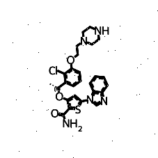 C[C@@H](Oc1cc(-n2cnc3ccccc32)sc1C(N)=O)c1cccc(OCCN2CCNCC2)c1Cl